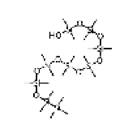 C[Si](C)(O)O[Si](C)(C)O[Si](C)(C)O[Si](C)(C)O[Si](C)(C)O[Si](C)(C)O[Si](C)(C)O[Si](C)(C)[Si](C)(C)C